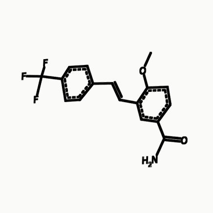 COc1ccc(C(N)=O)cc1C=Cc1ccc(C(F)(F)F)cc1